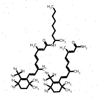 [2H]C([2H])([2H])C1=C(C=CC(C)=CC=CC(C)=CC(=O)NC(C)CCCCCCC)C(C)(C)CCC1([2H])[2H].[2H]C([2H])([2H])C1=C(C=CC(C)=CC=CC(C)=CC(N)=O)C(C)(C)CCC1([2H])[2H]